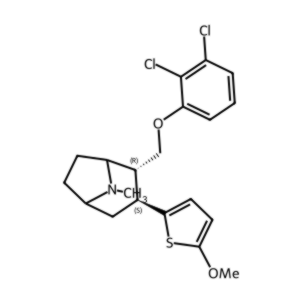 COc1ccc([C@H]2CC3CCC([C@@H]2COc2cccc(Cl)c2Cl)N3C)s1